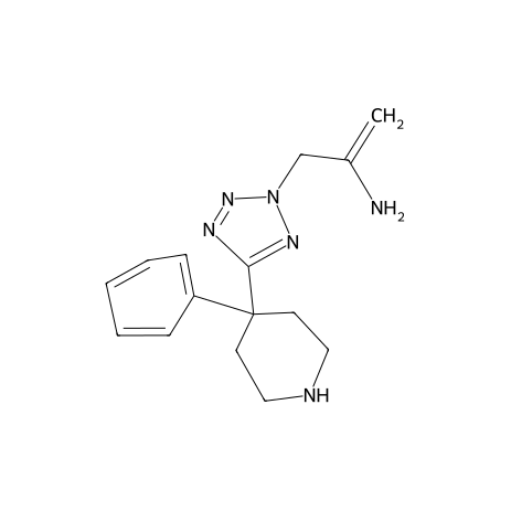 C=C(N)Cn1nnc(C2(c3ccccc3)CCNCC2)n1